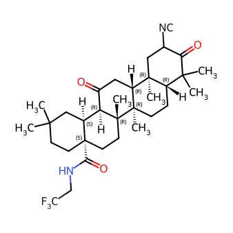 [C-]#[N+]C1C[C@]2(C)[C@H]3CC(=O)[C@@H]4[C@@H]5CC(C)(C)CC[C@]5(C(=O)NCC(F)(F)F)CC[C@@]4(C)[C@]3(C)CC[C@H]2C(C)(C)C1=O